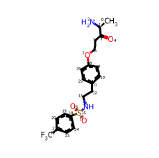 C[C@H](N)C(=O)CCOc1ccc(CCNS(=O)(=O)c2ccc(C(F)(F)F)cc2)cc1